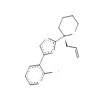 C=CC[C@@]1(c2nc(-c3cccnc3OC)c[nH]2)CCCCN1